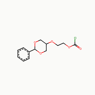 O=C(Cl)OCCOC1COC(c2ccccc2)OC1